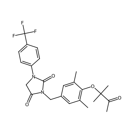 CC(=O)C(C)(C)Oc1c(C)cc(CN2C(=O)CN(c3ccc(C(F)(F)F)cc3)C2=O)cc1C